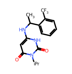 CC(Nc1cc(=O)n(C(C)C)c(=O)[nH]1)c1ccccc1C(F)(F)F